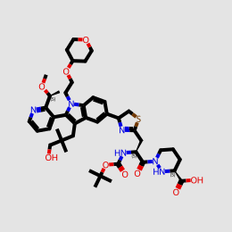 CO[C@@H](C)c1ncccc1-c1c(CC(C)(C)CO)c2cc(C3CSC(C[C@H](NC(=O)OC(C)(C)C)C(=O)N4CCC[C@@H](C(=O)O)N4)=N3)ccc2n1CCOC1CCOCC1